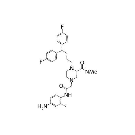 CNC(=O)C1CN(CC(=O)Nc2ccc(N)cc2C)CCN1CCCC(c1ccc(F)cc1)c1ccc(F)cc1